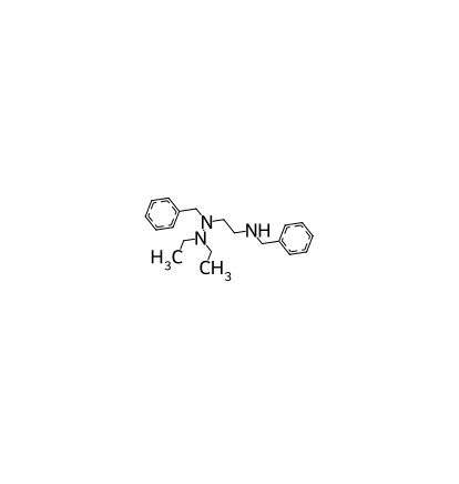 CCN(CC)N(CCNCc1ccccc1)Cc1ccccc1